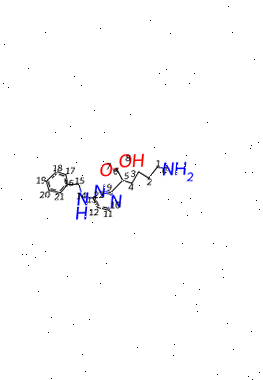 NCCCCC(C(=O)O)c1nccc(NCc2ccccc2)n1